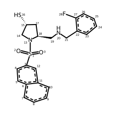 O=S(=O)(c1ccc2ccccc2c1)N1C[C@H](S)C[C@H]1CNCc1ccccc1F